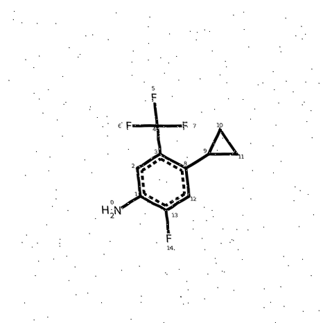 Nc1cc(C(F)(F)F)c(C2CC2)cc1F